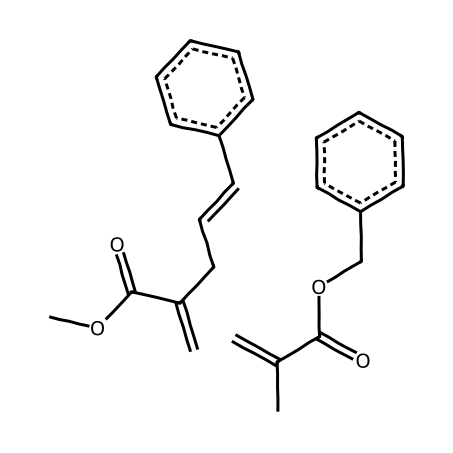 C=C(C)C(=O)OCc1ccccc1.C=C(CC=Cc1ccccc1)C(=O)OC